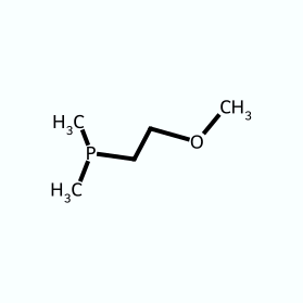 COCCP(C)C